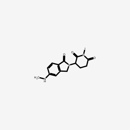 CNc1ccc2c(c1)CN(C1CCC(=O)N(I)C1=O)C2=O